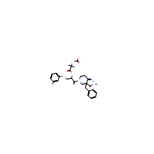 CN1N=C2CCN(C(=O)C(COc3cccc(Cl)c3)NC(=O)C(C)(C)NC(=O)O)CC2(Cc2ccccc2)C1=O